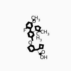 COc1ccc(F)c(-c2ccc(COc3cccc([C@@H](CC(=O)O)C4CCC4)c3)cc2[C@@H]2CCCC2(C)C)c1